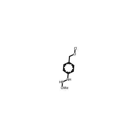 COBNc1ccc(COCl)cc1